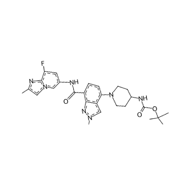 Cc1cn2cc(NC(=O)c3ccc(N4CCC(NC(=O)OC(C)(C)C)CC4)c4cn(C)nc34)cc(F)c2n1